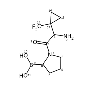 NC(C(=O)N1CCCC1B(O)O)C1(C(F)(F)F)CC1